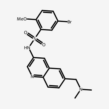 COc1ccc(Br)cc1S(=O)(=O)Nc1cnc2ccc(CN(C)C)cc2c1